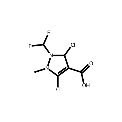 CN1C(Cl)=C(C(=O)O)C(Cl)N1C(F)F